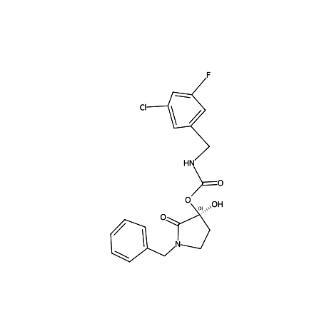 O=C(NCc1cc(F)cc(Cl)c1)O[C@@]1(O)CCN(Cc2ccccc2)C1=O